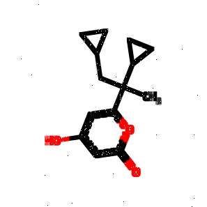 CC(CC1CC1)(c1cc(O)cc(=O)o1)C1CC1